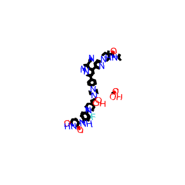 CC(C)NC(=O)C1(C)CCN(c2ccc(-c3cc(-c4ccc(N5CCN(C(=O)CC6(O)CCN(c7ccc(NC8CCC(=O)NC8=O)cc7F)CC6)CC5)cc4)cn4ncc(C#N)c34)cn2)CC1.O=CO